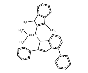 CC1=[C]([Hf]([CH]2C(c3ccccc3)=Cc3c(-c4ccccc4)cccc32)[SiH](C)C)C(C)c2ccccc21